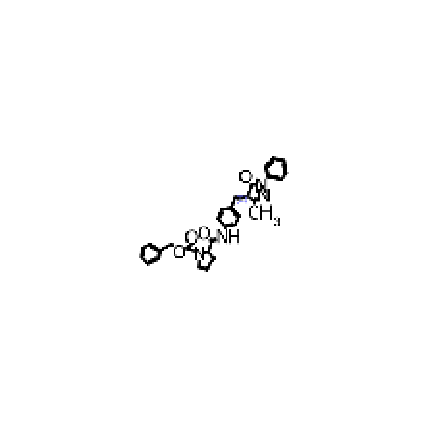 CC1=NN(c2ccccc2)C(=O)/C1=C/c1ccc(NC(=O)C2CCCN2C(=O)OCc2ccccc2)cc1